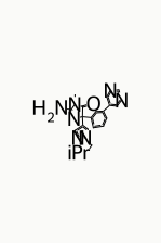 CC(C)Cn1cc(C2(c3cccc(-c4cncnc4)c3)N=C(N)N(C)C2=O)cn1